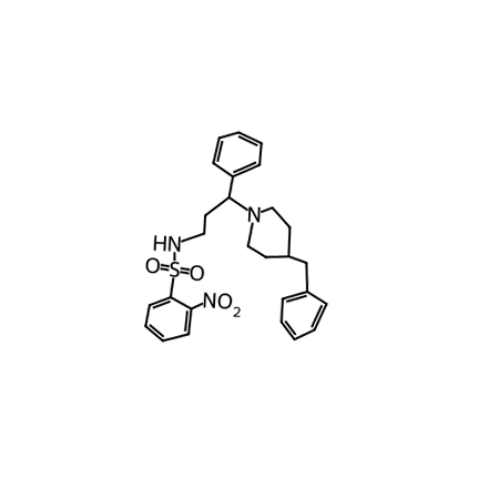 O=[N+]([O-])c1ccccc1S(=O)(=O)NCCC(c1ccccc1)N1CCC(Cc2ccccc2)CC1